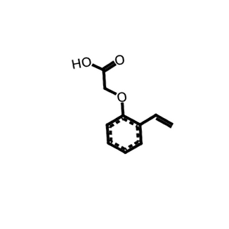 C=Cc1ccccc1OCC(=O)O